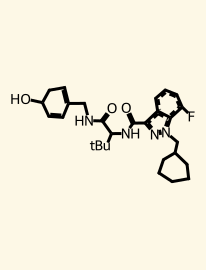 CC(C)(C)C(NC(=O)c1nn(CC2CCCCC2)c2c(F)cccc12)C(=O)NCC1=CCC(O)C=C1